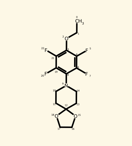 CCOc1c(F)c(F)c(N2CCC3(CC2)OCCO3)c(F)c1F